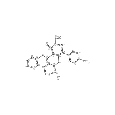 O=C([O-])c1nn(-c2ccc(C(F)(F)F)cc2)c(Cc2ccccc2)c(C(=O)Cc2ccccc2)c1=O.[K+]